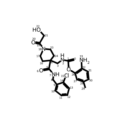 C=C(NCC1(C(=O)NCc2ccccc2Cl)CCN(C(=O)CO)CC1)Oc1cc(C)ccc1N